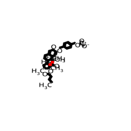 CCCCC(=O)O[C@]12C(=O)COC3=C(OCc4ccc(CO[N+](=O)[O-])cc4)C(=O)C=C4CC[C@H]5[C@H](CC1C)[C@@]2(C)C[C@@H](O)C5(F)[C@]43C